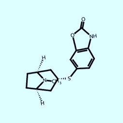 CN1[C@@H]2CC[C@H]1C[C@H](Sc1ccc3[nH]c(=O)oc3c1)C2